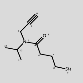 C#CCN(C(=O)CCCS)C(C)C